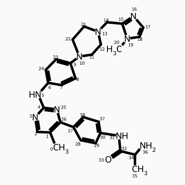 Cc1cnc(Nc2ccc(N3CCN(Cc4nccn4C)CC3)cc2)nc1-c1ccc(NC(=O)C(C)N)cc1